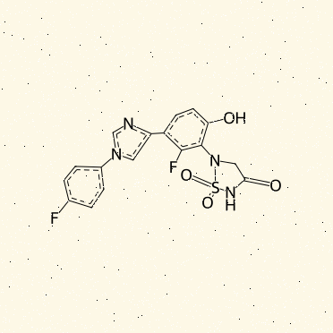 O=C1CN(c2c(O)ccc(-c3cn(-c4ccc(F)cc4)cn3)c2F)S(=O)(=O)N1